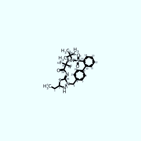 CCC1NN(Cc2ccc(-c3ccccc3S(=O)(=O)NC(C)(C)C)cc2)C(=NC(=O)C(F)(F)F)S1